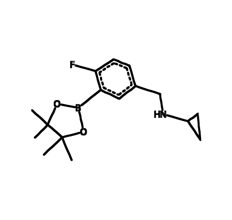 CC1(C)OB(c2cc(CNC3CC3)ccc2F)OC1(C)C